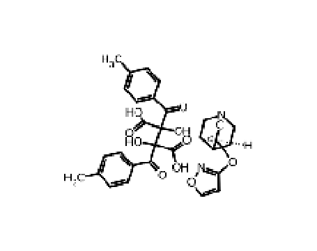 Cc1ccc(C(=O)C(O)(C(=O)O)C(O)(C(=O)O)C(=O)c2ccc(C)cc2)cc1.c1cc(O[C@@H]2CN3CCC2CC3)no1